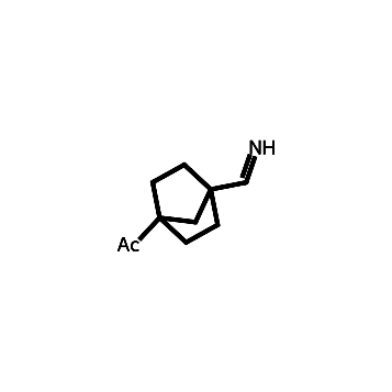 CC(=O)C12CCC(C=N)(CC1)C2